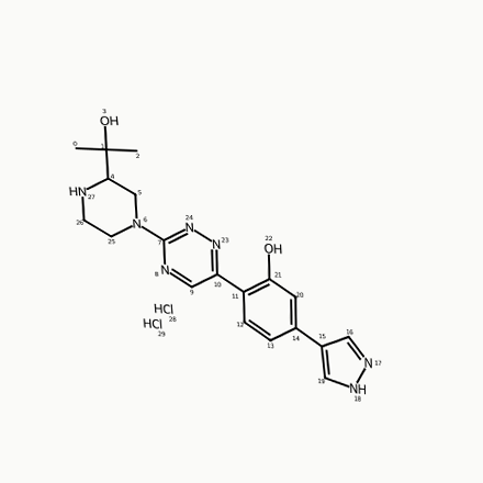 CC(C)(O)C1CN(c2ncc(-c3ccc(-c4cn[nH]c4)cc3O)nn2)CCN1.Cl.Cl